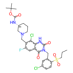 CCCS(=O)(=O)c1ccc(Cl)cc1Cn1c(=O)[nH]c2c(Cl)c(CN3CCC[C@@H](NC(=O)OC(C)(C)C)C3)c(F)cc2c1=O